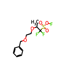 CC(OCCOCc1ccccc1)C(F)(F)S(=O)(=O)OF